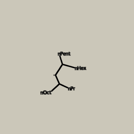 CCCCCCCCC([CH]C(CCCCC)CCCCCC)CCC